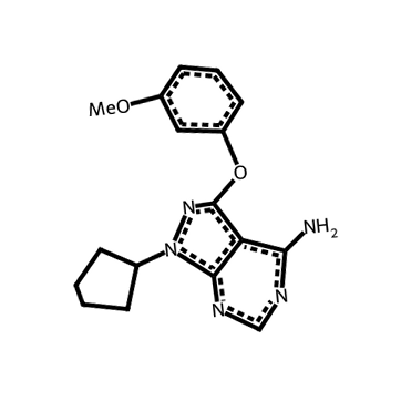 COc1cccc(Oc2nn(C3CCCC3)c3ncnc(N)c23)c1